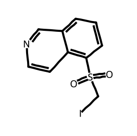 O=S(=O)(CI)c1cccc2cnccc12